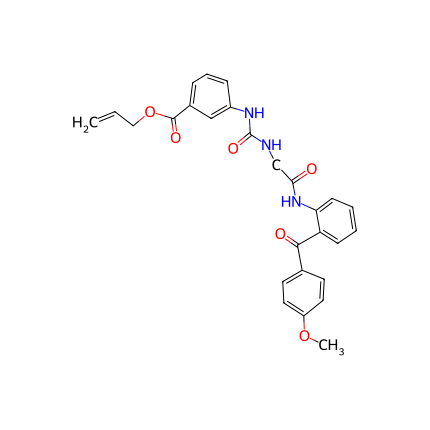 C=CCOC(=O)c1cccc(NC(=O)NCC(=O)Nc2ccccc2C(=O)c2ccc(OC)cc2)c1